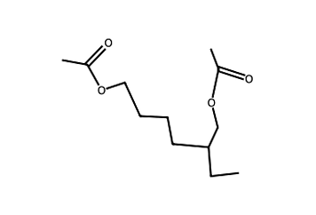 CCC(CCCCOC(C)=O)COC(C)=O